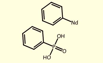 O=P(O)(O)c1ccccc1.[Nd][c]1ccccc1